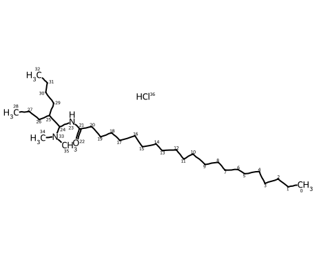 CCCCCCCCCCCCCCCCCCCCCC(=O)NC(C(CCC)CCCC)N(C)C.Cl